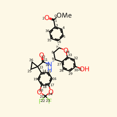 COC(=O)c1ccc([C@H]2C[C@@H](NC(=O)C3(c4ccc5c(c4)OC(F)(F)O5)CC3)c3ccc(O)cc3O2)cc1